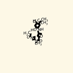 C=CC(=O)N1CC(N(C)C(=O)c2cc(CNc3cc(C(C)(C)C)c(Cl)cc3O)co2)C1